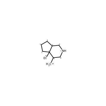 CCC12CCCC1CNCC2C